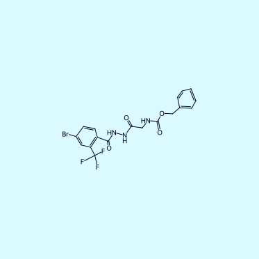 O=C(CNC(=O)OCc1ccccc1)NNC(=O)c1ccc(Br)cc1C(F)(F)F